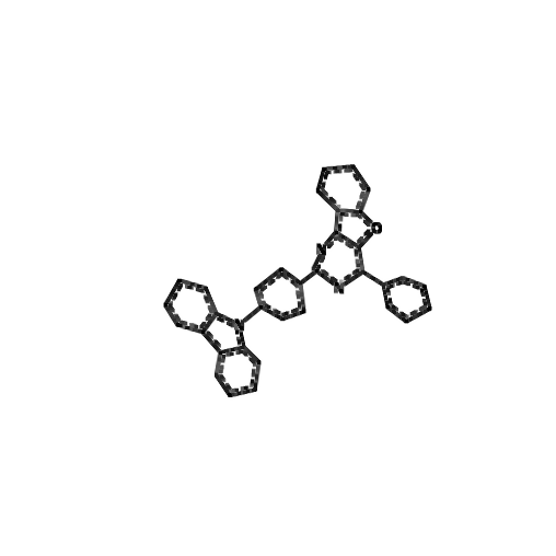 c1ccc(-c2nc(-c3ccc(-n4c5ccccc5c5ccccc54)cc3)nc3c2oc2ccccc23)cc1